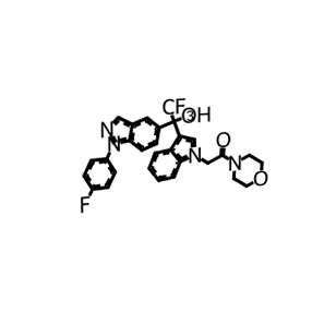 O=C(Cn1cc(C(O)(c2ccc3c(cnn3-c3ccc(F)cc3)c2)C(F)(F)F)c2ccccc21)N1CCOCC1